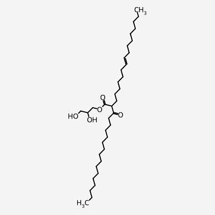 CCCCCCCCC=CCCCCCCC(C(=O)CCCCCCCCCCCCCCC)C(=O)OCC(O)CO